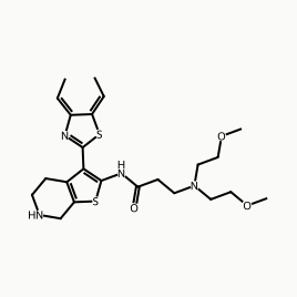 C/C=c1/nc(-c2c(NC(=O)CCN(CCOC)CCOC)sc3c2CCNC3)s/c1=C/C